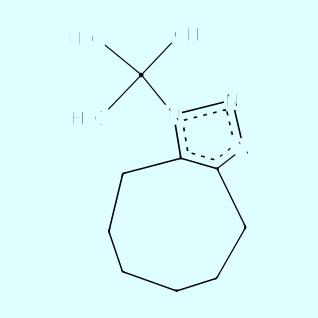 CC(C)(C)n1nnc2c1CCCCCC2